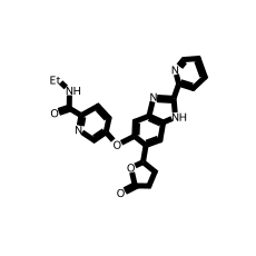 CCNC(=O)c1ccc(Oc2cc3nc(-c4ccccn4)[nH]c3cc2C2CCC(=O)O2)cn1